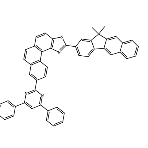 CC1(C)c2cc(-c3nc4c(ccc5ccc6cc(-c7nc(-c8ccccc8)cc(-c8ccccc8)n7)ccc6c54)s3)ccc2-c2cc3ccccc3cc21